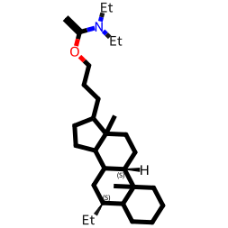 C=C(OCCCC1CCC2C3C[C@H](CC)C4CCCCC4(C)[C@H]3CCC12C)N(CC)CC